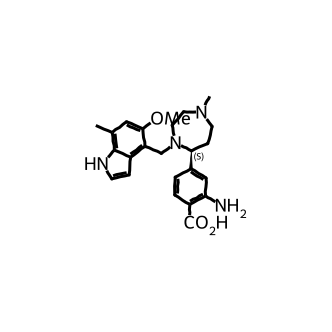 COc1cc(C)c2[nH]ccc2c1CN1CCN(C)CC[C@H]1c1ccc(C(=O)O)c(N)c1